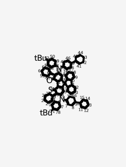 CC(C)(C)c1ccc(N(C2=CC=C(c3ccccc3)CC2)c2cc3c(c4sc5ccccc5c24)-c2c(cc(N(c4ccc(C5=CCCC=C5)cc4)c4ccc(C(C)(C)C)cc4)c4c2oc2ccccc24)C32c3ccccc3-c3ccccc32)cc1